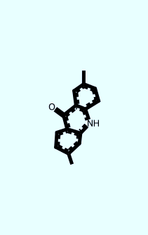 Cc1ccc2c(=O)c3cc(C)ccc3[nH]c2c1